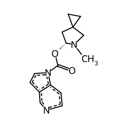 CN1CC2(CC2)C[C@H]1OC(=O)n1ccc2cnccc21